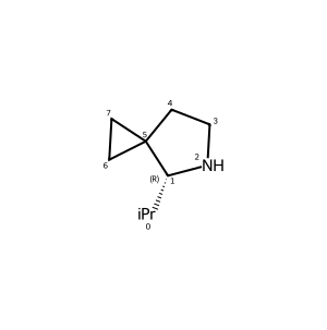 CC(C)[C@H]1NCCC12CC2